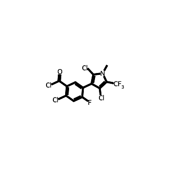 Cn1c(Cl)c(-c2cc(C(=O)Cl)c(Cl)cc2F)c(Cl)c1C(F)(F)F